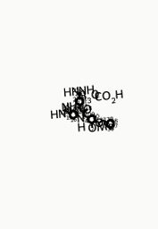 CC(=O)O.COc1cc([C@@H](Nc2ccc(C(=N)N)cc2)C(=O)Nc2ccc(C(=N)N)cc2)ccc1OCc1ccccc1